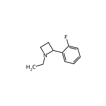 [CH2]CN1CCC1c1ccccc1F